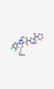 COCCCCc1c(C(=O)N(CC(C)C)[C@@H]2CNC[C@H](C(=O)N3CCOCC3)C2)nnn1-c1ccc(F)c(F)c1